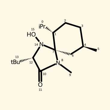 CC(C)[C@@H]1CC[C@@H](C)C[C@@]12N(C)C(=O)[C@H](C(C)(C)C)N2O